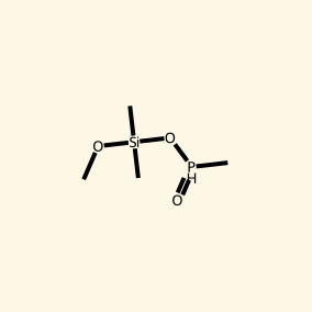 CO[Si](C)(C)O[PH](C)=O